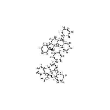 C[Si]1(C)c2ccccc2-c2nc(-c3cccc(-n4c5ccccc5c5ccc6c(c7ccccc7n6-c6ccccc6)c54)c3)nc(-c3ccccc3)c21